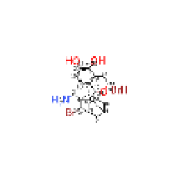 Br.NCC12CC3CC(CC(C3)C1C1OCCc3c1ccc(O)c3O)C2Br